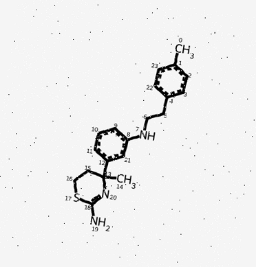 Cc1ccc(CCNc2cccc(C3(C)CCSC(N)=N3)c2)cc1